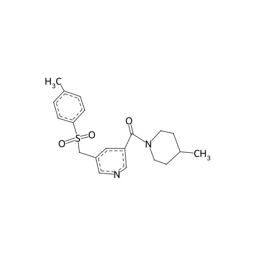 Cc1ccc(S(=O)(=O)Cc2cncc(C(=O)N3CCC(C)CC3)c2)cc1